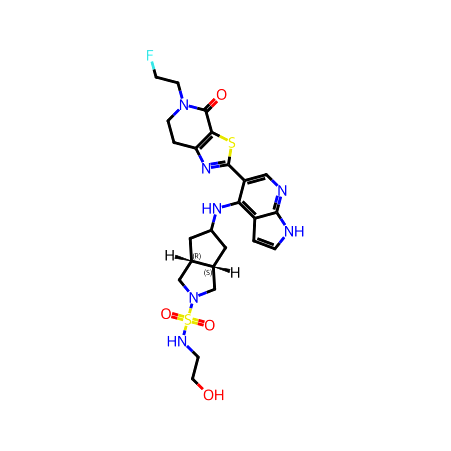 O=C1c2sc(-c3cnc4[nH]ccc4c3NC3C[C@@H]4CN(S(=O)(=O)NCCO)C[C@@H]4C3)nc2CCN1CCF